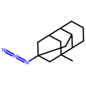 CC12CC3CC(N=[N+]=[N-])(CC4C3CCCC41)C2